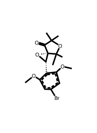 COc1cc(Br)cc(OC)c1[C@@H]1O[C@@]12C(=O)C(C)(C)OC2(C)C